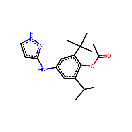 CC(=O)Oc1c(C(C)C)cc(Nc2cc[nH]n2)cc1C(C)(C)C